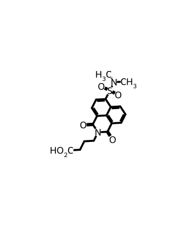 CN(C)S(=O)(=O)c1ccc2c3c(cccc13)C(=O)N(CCCC(=O)O)C2=O